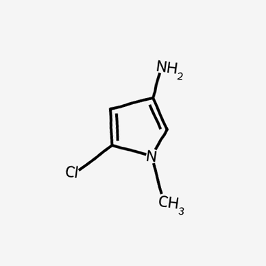 Cn1cc(N)cc1Cl